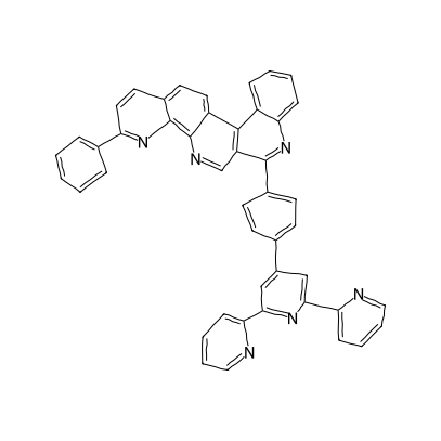 c1ccc(-c2ccc3ccc4c(ncc5c(-c6ccc(-c7cc(-c8ccccn8)nc(-c8ccccn8)c7)cc6)nc6ccccc6c54)c3n2)cc1